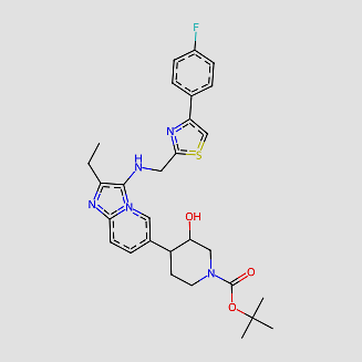 CCc1nc2ccc(C3CCN(C(=O)OC(C)(C)C)CC3O)cn2c1NCc1nc(-c2ccc(F)cc2)cs1